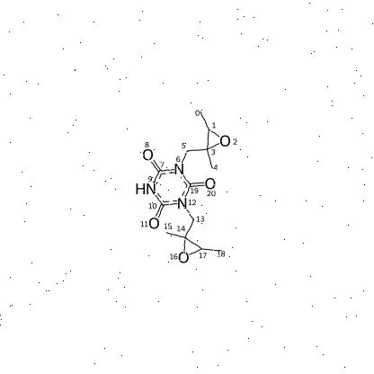 CC1OC1(C)Cn1c(=O)[nH]c(=O)n(CC2(C)OC2C)c1=O